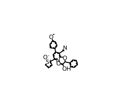 COc1ccc(-c2cc(-c3ccc[s+]3[O-])nc(OC(C(=O)O)c3ccccc3)c2C#N)cc1